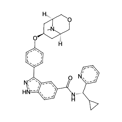 CN1[C@@H]2COC[C@H]1C[C@@H](Oc1ccc(-c3n[nH]c4ccc(C(=O)N[C@H](c5ccccn5)C5CC5)cc34)cc1)C2